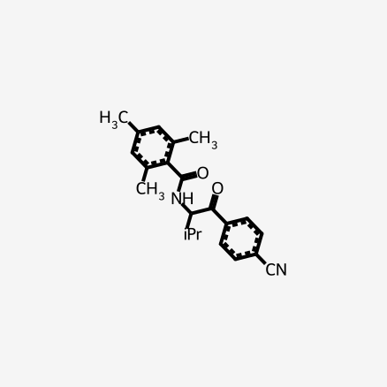 Cc1cc(C)c(C(=O)NC(C(=O)c2ccc(C#N)cc2)C(C)C)c(C)c1